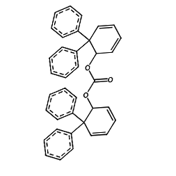 O=C(OC1C=CC=CC1(c1ccccc1)c1ccccc1)OC1C=CC=CC1(c1ccccc1)c1ccccc1